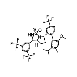 COc1cc(C)c(C(C)C)cc1-c1ccc(C(F)(F)F)cc1[C@@H]1CC[C@H]2[C@@H](c3cc(C(F)(F)F)cc(C(F)(F)F)c3)NS(=O)(=O)N12